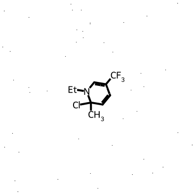 CCN1C=C(C(F)(F)F)C=CC1(C)Cl